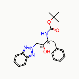 CC(C)(C)OC(=O)N[C@H](Cc1ccccc1)[C@@H](O)Cn1nc2ccccc2n1